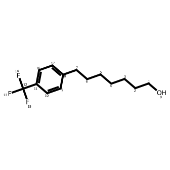 OCCCCCCCc1ccc(C(F)(F)F)cc1